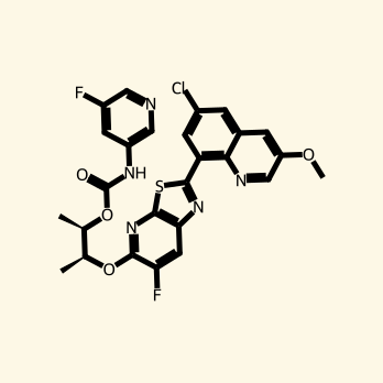 COc1cnc2c(-c3nc4cc(F)c(O[C@@H](C)[C@@H](C)OC(=O)Nc5cncc(F)c5)nc4s3)cc(Cl)cc2c1